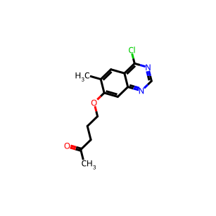 CC(=O)CCCOc1cc2ncnc(Cl)c2cc1C